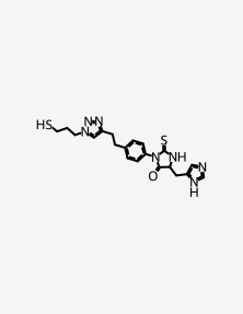 O=C1C(Cc2cnc[nH]2)NC(=S)N1c1ccc(CCc2cn(CCCS)nn2)cc1